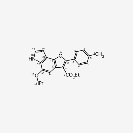 CCOC(=O)c1c(-c2ccc(C)cc2)oc2c1cc(OC(C)C)c1[nH]ccc12